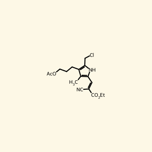 CCOC(=O)C(C#N)=Cc1[nH]c(CCl)c(CCCOC(C)=O)c1C